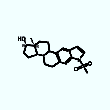 C[C@]12CCC3c4cc5ccn(S(C)(=O)=O)c5cc4CCC3C1CC[C@@H]2O